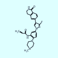 C=CC(=O)Nc1cc(-n2cc(-c3ccc4c(c3)CCNC4=O)c(F)n2)ccc1N1CCN(C)CC1